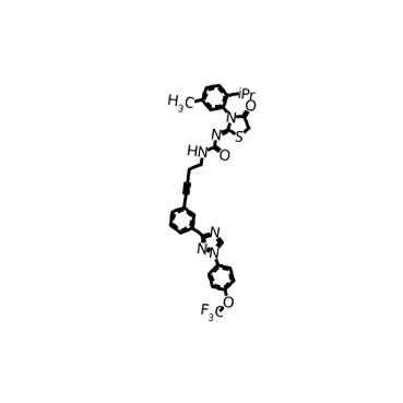 Cc1ccc(C(C)C)c(N2C(=O)CS/C2=N\C(=O)NCCC#Cc2cccc(-c3ncn(-c4ccc(OC(F)(F)F)cc4)n3)c2)c1